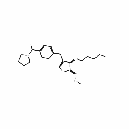 CCCCC/N=C1/C(CC2=CC=C(C(C)N3CCCC3)CC2)=CN/C1=C\NN